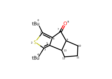 CC(C)(C)c1sc(C(C)(C)C)c2c1C(=O)C1CCCC21